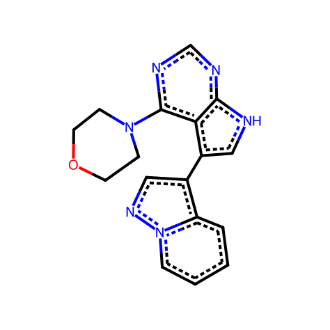 c1ccn2ncc(-c3c[nH]c4ncnc(N5CCOCC5)c34)c2c1